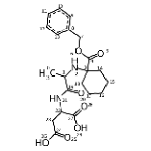 CC(NC1(C(=O)OCc2ccccc2)CCCCC1)C(=O)NC(CC(=O)O)C(=O)O